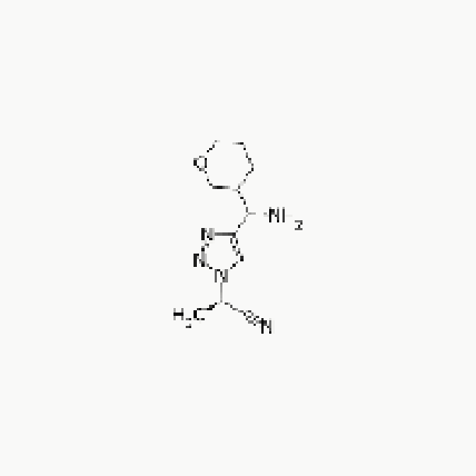 C[C@H](C#N)n1cc([C@@H](N)C2CCCOC2)nn1